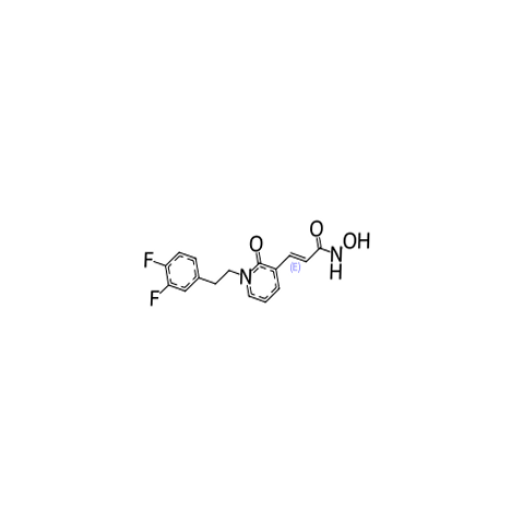 O=C(/C=C/c1cccn(CCc2ccc(F)c(F)c2)c1=O)NO